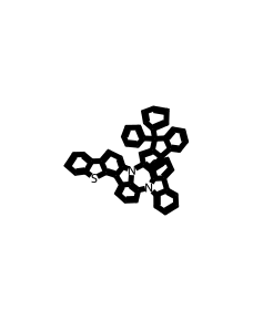 c1ccc(C2(c3ccccc3)c3ccccc3-c3ccc(-n4c5ccc6c7ccccc7sc6c5c5cccc(-n6c7ccccc7c7ccccc76)c54)cc32)cc1